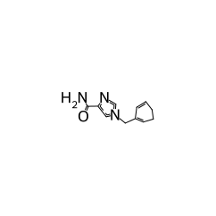 NC(=O)c1cn(CC2=CCCC=C2)cn1